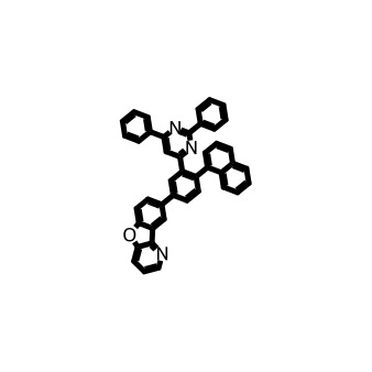 c1ccc(-c2cc(-c3cc(-c4ccc5oc6cccnc6c5c4)ccc3-c3cccc4ccccc34)nc(-c3ccccc3)n2)cc1